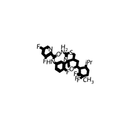 CC(C)C1CCC(C)(F)C(F)(F)C1C1CC2CSC(N)=NC2(c2cc(NC(=O)c3ncc(F)cc3F)ccc2F)CO1